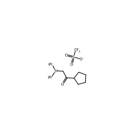 CC(C)[S+](CC(=O)C1CCCC1)C(C)C.O=S(=O)([O-])C(F)(F)F